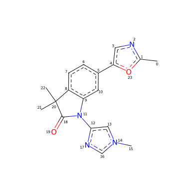 Cc1ncc(-c2ccc3c(c2)N(c2cn(C)cn2)C(=O)C3(C)C)o1